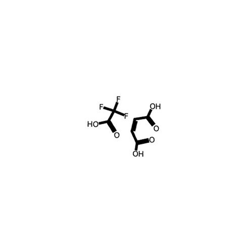 O=C(O)/C=C\C(=O)O.O=C(O)C(F)(F)F